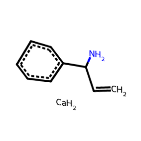 C=CC(N)c1ccccc1.[CaH2]